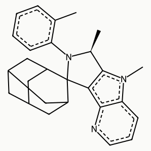 Cc1ccccc1N1[C@@H](C)c2c(c3ncccc3n2C)C12C1CC3CC(C1)CC2C3